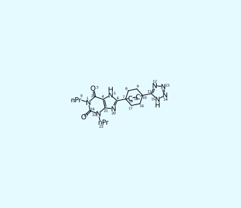 CCCn1c(=O)c2[nH]c(C34CCC(c5nnn[nH]5)(CC3)CC4)nc2n(CCC)c1=O